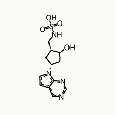 O=S(=O)(O)NC[C@@H]1C[C@@H](n2ccc3cncnc32)C[C@@H]1O